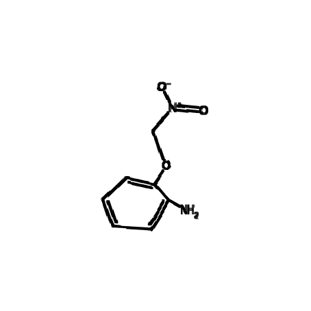 Nc1ccccc1OC[N+](=O)[O-]